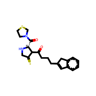 O=C(CCCC1=Cc2ccccc2C1)C1C(=S)CN[C@@H]1C(=O)N1CCSC1